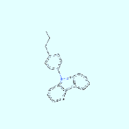 CCCc1ccc(-n2c3ccccc3c3ccccc32)cc1